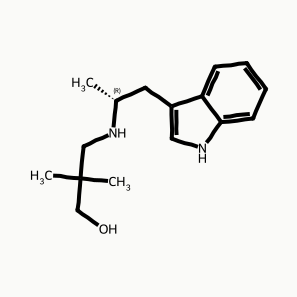 C[C@H](Cc1c[nH]c2ccccc12)NCC(C)(C)CO